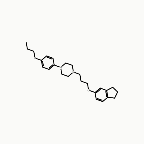 CCCOc1ccc(N2CCN(CCCOc3ccc4c(c3)CCC4)CC2)cc1